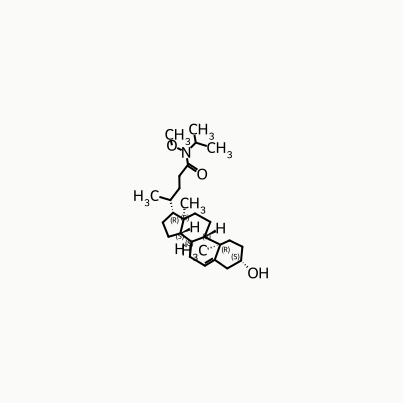 CON(C(=O)CCC(C)[C@H]1CC[C@H]2[C@@H]3CC=C4C[C@@H](O)CC[C@]4(C)[C@H]3CC[C@]12C)C(C)C